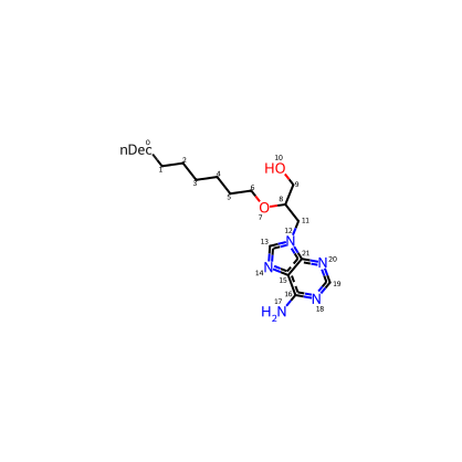 CCCCCCCCCCCCCCCCOC(CO)Cn1cnc2c(N)ncnc21